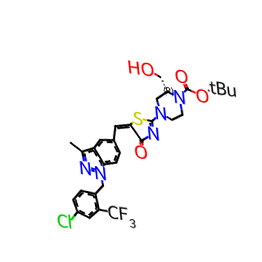 Cc1nn(Cc2ccc(Cl)cc2C(F)(F)F)c2ccc(C=C3SC(N4CCN(C(=O)OC(C)(C)C)[C@@H](CO)C4)=NC3=O)cc12